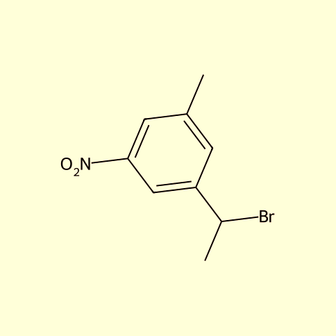 Cc1cc(C(C)Br)cc([N+](=O)[O-])c1